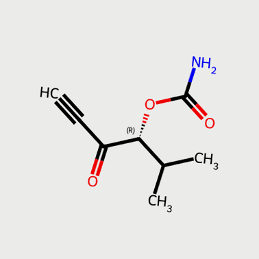 C#CC(=O)[C@H](OC(N)=O)C(C)C